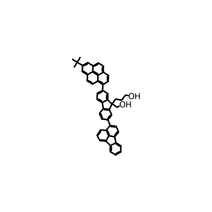 CC(C)(C)c1cc2ccc3ccc(-c4ccc5c(c4)C(CO)(CCCO)c4cc(-c6ccc7c8c(cccc68)-c6ccccc6-7)ccc4-5)c4ccc(c1)c2c34